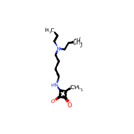 CCCN(CCC)CCCCNc1c(C)c(=O)c1=O